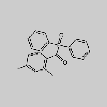 Cc1ccc(C(=O)P(=O)(c2ccccc2)c2ccccc2)c(C)c1